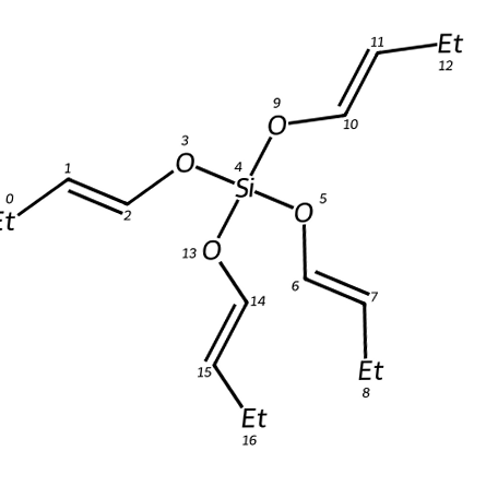 CCC=CO[Si](OC=CCC)(OC=CCC)OC=CCC